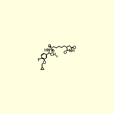 CC(NS(=O)(=O)CCCCCC1CC(=O)NC1=O)c1ccc(F)c(OCC2CC2)c1